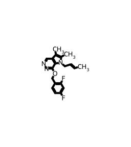 C/C=C/Cn1c(C)c(C)c2cnnc(OCc3ccc(F)cc3F)c21